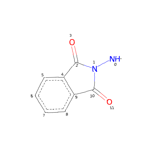 [NH]N1C(=O)c2ccccc2C1=O